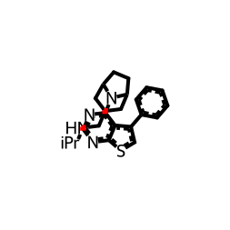 CC(C)NCC1CC2CCC(C1)N2c1ncnc2scc(-c3ccccc3)c12